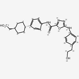 O=C(O)C[C@H]1CC[C@H](c2ccc(NC(=O)c3nnc(Nc4ccc(CCO)cc4)o3)cc2)CC1